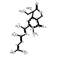 CC[C@@]1(O)C(=O)OCc2c1cc(/C(C)=N/C(C)=C/C=C(\C)O)n(C)c2=O